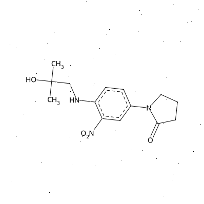 CC(C)(O)CNc1ccc(N2CCCC2=O)cc1[N+](=O)[O-]